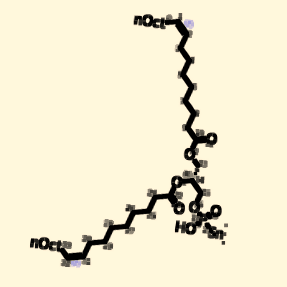 CCCCCCCC/C=C\CCCCCCCC(=O)OC[C@H](CO[P](=O)(O)[Sn])OC(=O)CCCCCCC/C=C\CCCCCCCC